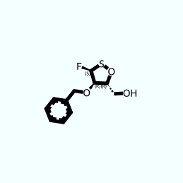 OC[C@H]1OS[C@H](F)[C@@H]1OCc1ccccc1